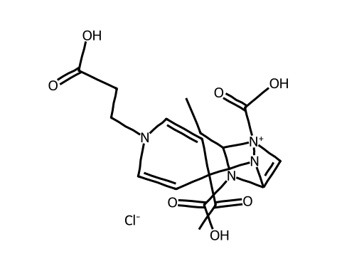 CCC1N(C(=O)O)C2=C[N+]1(C(=O)O)N2C1(C(C)=O)C=CN(CCC(=O)O)C=C1.[Cl-]